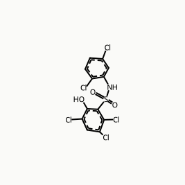 O=S(=O)(Nc1cc(Cl)ccc1Cl)c1c(O)c(Cl)cc(Cl)c1Cl